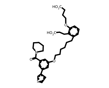 O=C(O)CCCOc1cccc(CCCCCCOc2cc(C(=O)N3CCCCC3)cc(-c3ccsc3)c2)c1CCC(=O)O